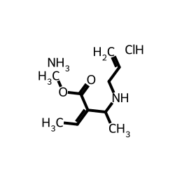 C=CCNC(C)C(=CC)C(=O)OC.Cl.N